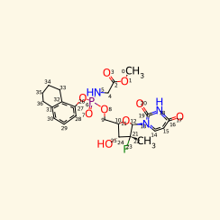 COC(=O)CNP(=O)(OCC1O[C@@H](n2ccc(=O)[nH]c2=O)[C@](C)(F)[C@@H]1O)Oc1cccc2c1CCCC2